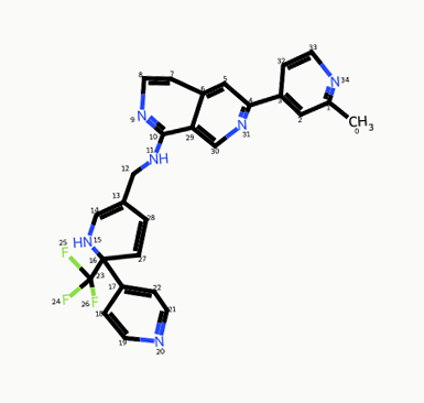 Cc1cc(-c2cc3ccnc(NCC4=CNC(c5ccncc5)(C(F)(F)F)C=C4)c3cn2)ccn1